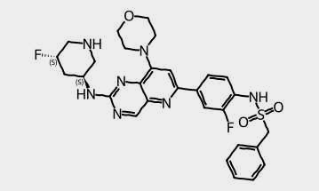 O=S(=O)(Cc1ccccc1)Nc1ccc(-c2cc(N3CCOCC3)c3nc(N[C@@H]4CNC[C@@H](F)C4)ncc3n2)cc1F